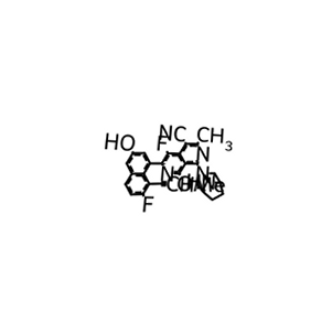 C#Cc1c(F)ccc2cc(O)cc(-c3nc(OC)c4c(N5CC6CCC(C5)N6)nc(C)c(C#N)c4c3F)c12